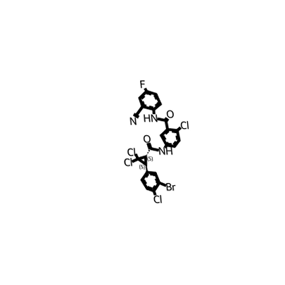 N#Cc1cc(F)ccc1NC(=O)c1cc(NC(=O)[C@@H]2[C@@H](c3ccc(Cl)c(Br)c3)C2(Cl)Cl)ccc1Cl